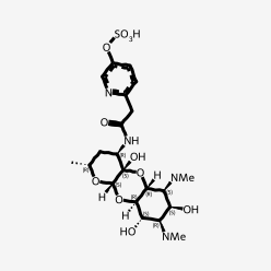 CN[C@@H]1[C@H](O)[C@H](NC)[C@H]2O[C@]3(O)[C@H](O[C@@H]2[C@H]1O)O[C@H](C)C[C@H]3NC(=O)Cc1ccc(OS(=O)(=O)O)cn1